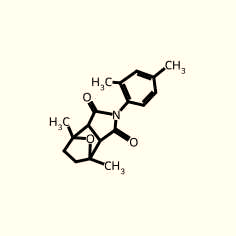 Cc1ccc(N2C(=O)C3C(C2=O)C2(C)CCC3(C)O2)c(C)c1